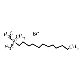 CCCCCCCCCCCC[P+](C)(C)CC.[Br-]